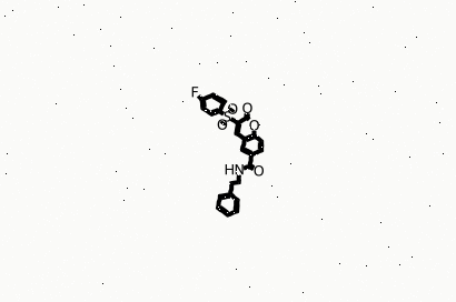 O=C(NCCc1ccccc1)c1ccc2oc(=O)c(S(=O)(=O)c3ccc(F)cc3)cc2c1